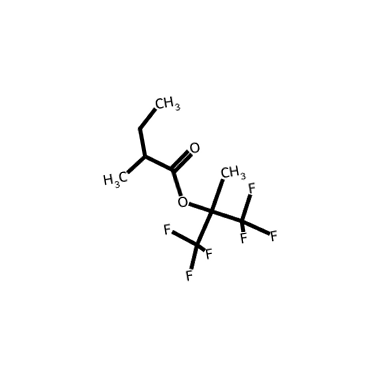 CCC(C)C(=O)OC(C)(C(F)(F)F)C(F)(F)F